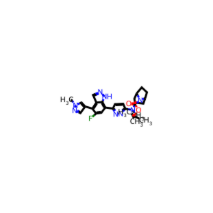 CN(c1ccc(-c2cc(F)c(-c3cnn(C)c3)c3cn[nH]c23)nn1)C1CC2CCC(C1)N2C(=O)OC(C)(C)C